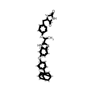 CC(Oc1ccc(CC2SC(=O)NC2=O)cc1)c1nc2ccc(Oc3ccc(C45CC6CC(CC(C6)C4)C5)cc3)cc2[nH]1